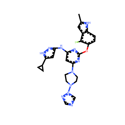 Cc1cc2c(F)c(Oc3nc(Nc4cc(C5CC5)[nH]n4)cc(N4CCN(n5cncn5)CC4)n3)ccc2[nH]1